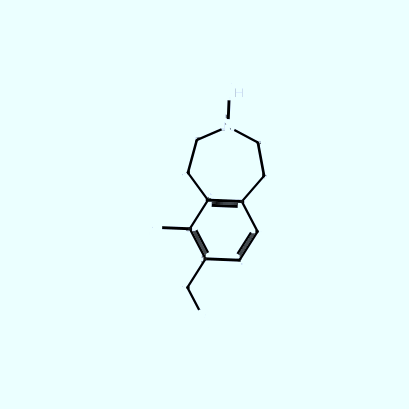 Cc1c(CBr)ccc2c1CCN(C)CC2